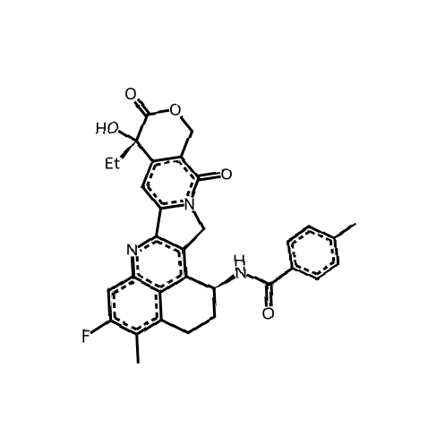 CC[C@@]1(O)C(=O)OCc2c1cc1n(c2=O)Cc2c-1nc1cc(F)c(C)c3c1c2[C@@H](NC(=O)c1ccc(C)cc1)CC3